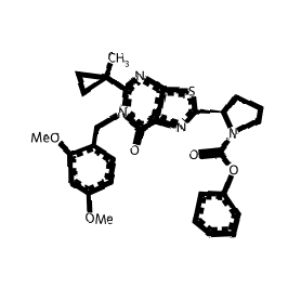 COc1ccc(Cn2c(C3(C)CC3)nc3sc([C@H]4CCCN4C(=O)Oc4ccccc4)nc3c2=O)c(OC)c1